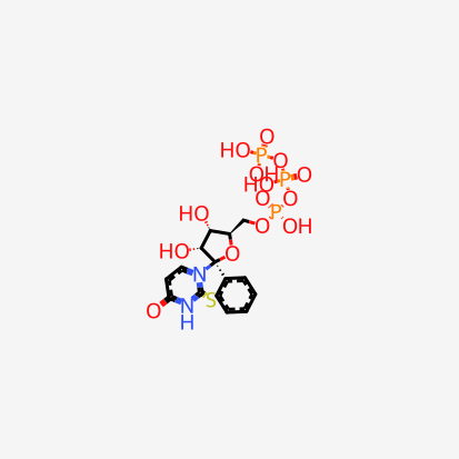 O=c1ccn([C@]2(c3ccccc3)O[C@H](COP(=O)(O)OP(=O)(O)OP(=O)(O)O)[C@@H](O)[C@H]2O)c(=S)[nH]1